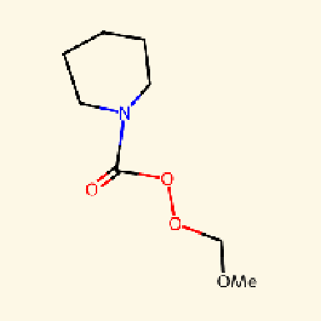 COCOOC(=O)N1CCCCC1